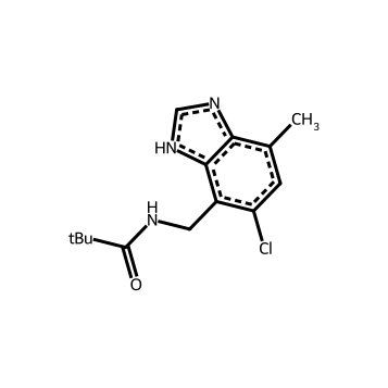 Cc1cc(Cl)c(CNC(=O)C(C)(C)C)c2[nH]cnc12